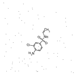 C=CNS(=O)(=O)c1ccc(N)c(Cl)c1